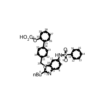 CCCCc1nc2ccc(NS(=O)(=O)c3ccccc3)cc2n1Cc1ccc(-c2ccccc2OC(=O)O)cc1